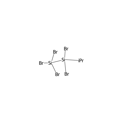 CC(C)[Si](Br)(Br)[Si](Br)(Br)Br